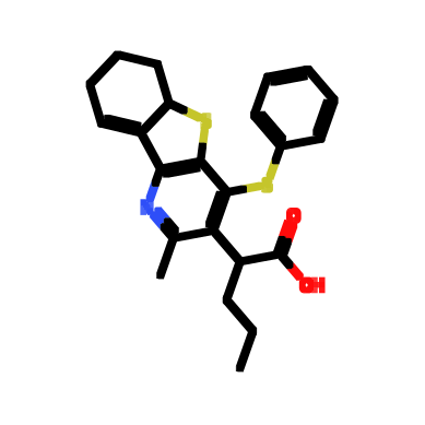 CCCC(C(=O)O)c1c(C)nc2c(c1Sc1ccccc1)SC1CCCC=C21